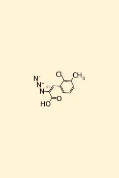 Cc1cccc(/C=C(/N=[N+]=[N-])C(=O)O)c1Cl